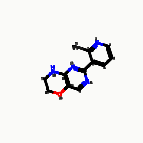 CC(C)c1ncccc1-c1ncc2c(n1)NCCO2